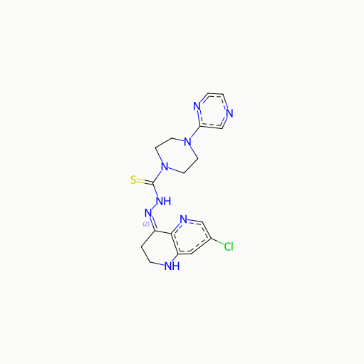 S=C(N/N=C1/CCNc2cc(Cl)cnc21)N1CCN(c2cnccn2)CC1